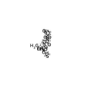 CC(C)CC(NC(=O)Oc1ccsc1)C(=O)N1CCC2C1C(=O)CN2S(=O)(=O)c1ccc[n+]([O-])c1